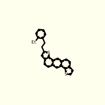 CCc1ccccc1CCc1cc2ccc3cc4c(ccc5ccsc54)cc3c2s1